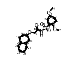 COc1ccc(OC)c(S(=O)(=O)NC(=O)COc2ccc3ccccc3c2)c1